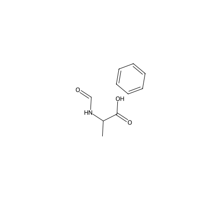 CC(NC=O)C(=O)O.c1ccccc1